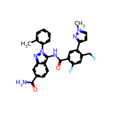 Cc1ccccc1-n1nc2cc(C(N)=O)ccc2c1NC(=O)c1cc(-c2ccn(C)n2)c(CF)cc1F